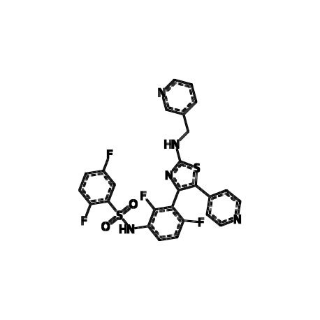 O=S(=O)(Nc1ccc(F)c(-c2nc(NCc3cccnc3)sc2-c2ccncc2)c1F)c1cc(F)ccc1F